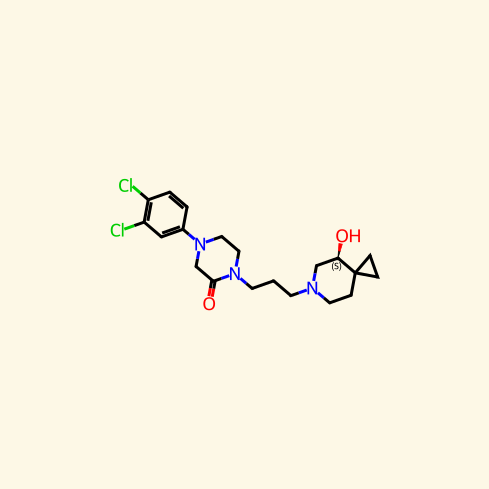 O=C1CN(c2ccc(Cl)c(Cl)c2)CCN1CCCN1CCC2(CC2)[C@H](O)C1